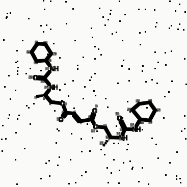 C[C@H](COC(=O)/C=C/C(=O)OC[C@@H](C)NC(=O)NC1CCCCC1)NC(=O)NC1CCCCC1